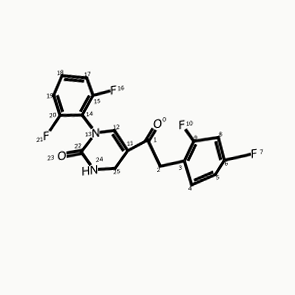 O=C(Cc1ccc(F)cc1F)C1=CN(c2c(F)cccc2F)C(=O)NC1